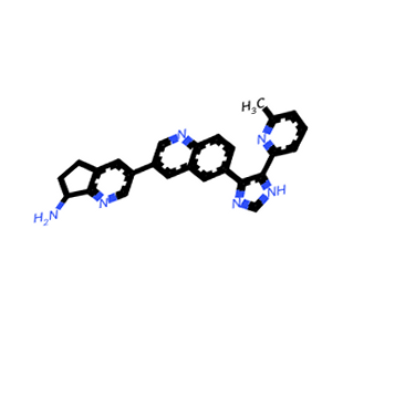 Cc1cccc(-c2[nH]cnc2-c2ccc3ncc(-c4cnc5c(c4)CCC5N)cc3c2)n1